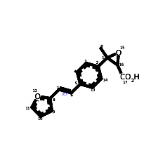 CC1(c2ccc(/C=C/c3ccco3)cc2)OC1C(=O)O